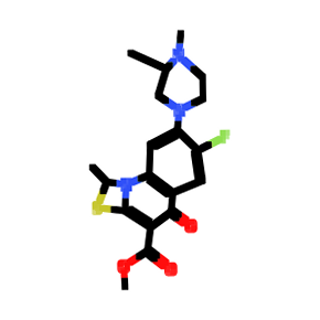 COC(=O)c1c2n(c3cc(N4CCN(C)C(C)C4)c(F)cc3c1=O)C(C)S2